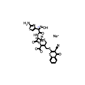 N#Cc1c(SCC2=C(C(=O)[O-])N3C(=O)[C@@H](NC(=O)/C(=N\O)c4csc(N)n4)[C@@H]3SC2)sc2ccccc2c1=O.[Na+]